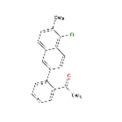 COC(=O)c1ccccc1-c1ccc2c(Cl)c(OC)ccc2c1